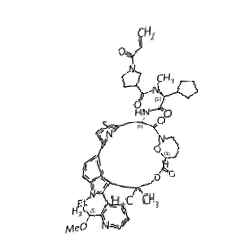 C=CC(=O)N1CCC(C(=O)N(C)[C@H](C(=O)N[C@H]2Cc3nc(cs3)-c3ccc4c(c3)c(c(-c3cccnc3[C@H](C)OC)n4CC)CC(C)(C)COC(=O)[C@@H]3CCCN(O3)C2=O)C2CCCC2)C1